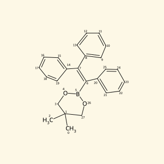 CC1(C)COB(C(=C(c2ccccc2)c2ccccc2)c2ccccc2)OC1